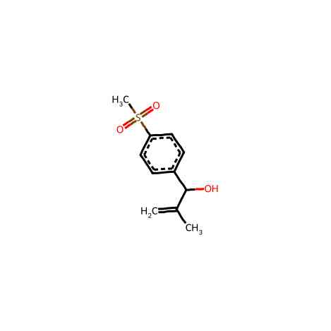 C=C(C)C(O)c1ccc(S(C)(=O)=O)cc1